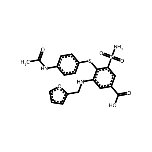 CC(=O)Nc1ccc(Sc2c(NCc3ccco3)cc(C(=O)O)cc2S(N)(=O)=O)cc1